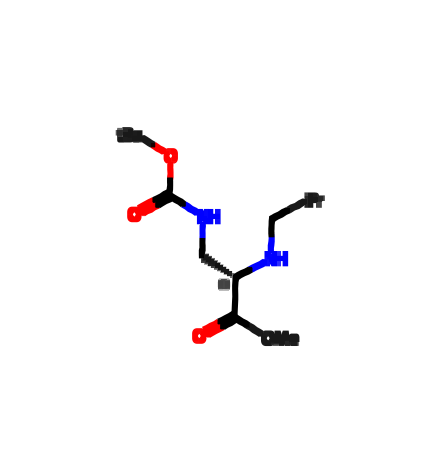 COC(=O)[C@H](CNC(=O)OC(C)(C)C)NCC(C)C